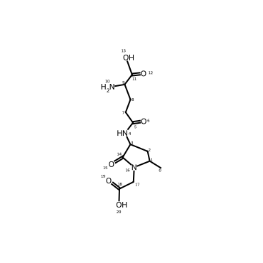 CC1CC(NC(=O)CCC(N)C(=O)O)C(=O)N1CC(=O)O